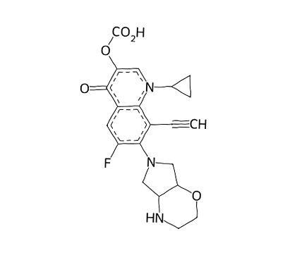 C#Cc1c(N2CC3NCCOC3C2)c(F)cc2c(=O)c(OC(=O)O)cn(C3CC3)c12